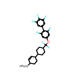 CCCCCC1C=CC(C2CCC(C(F)(F)Oc3cc(F)c(-c4cc(F)c(F)c(F)c4)c(F)c3)CC2)CC1